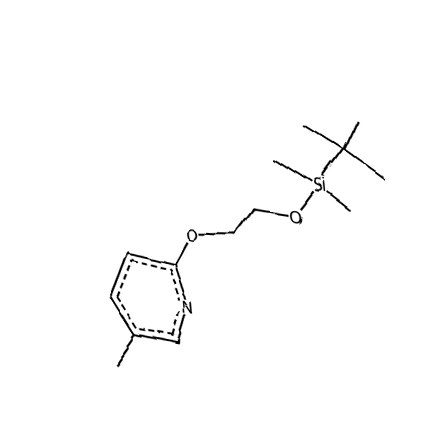 Cc1ccc(OCCO[Si](C)(C)C(C)(C)C)nc1